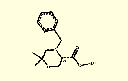 CCCCOC(=O)[C@@H]1COC(C)(C)CN1Cc1ccccc1